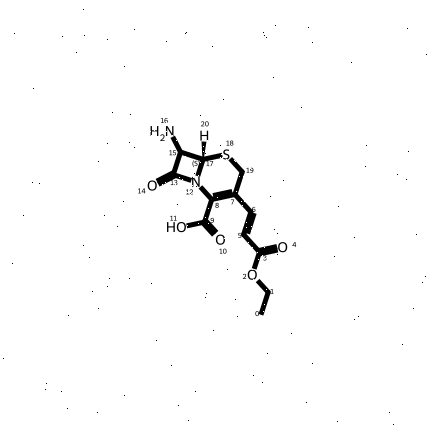 CCOC(=O)C=CC1=C(C(=O)O)N2C(=O)C(N)[C@@H]2SC1